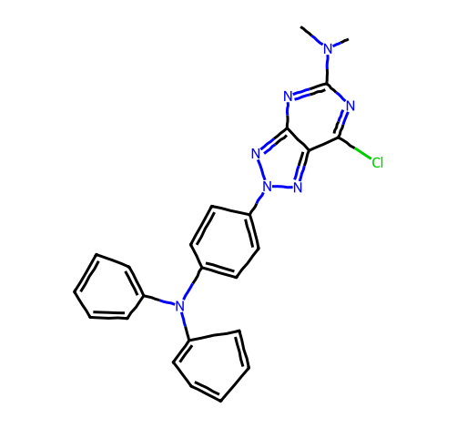 CN(C)c1nc(Cl)c2nn(-c3ccc(N(c4ccccc4)c4ccccc4)cc3)nc2n1